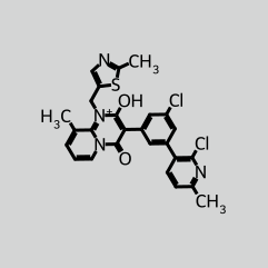 Cc1ccc(-c2cc(Cl)cc(-c3c(O)[n+](Cc4cnc(C)s4)c4c(C)cccn4c3=O)c2)c(Cl)n1